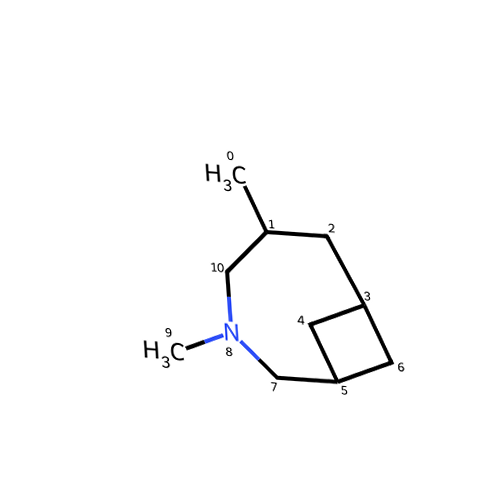 CC1CC2CC(C2)CN(C)C1